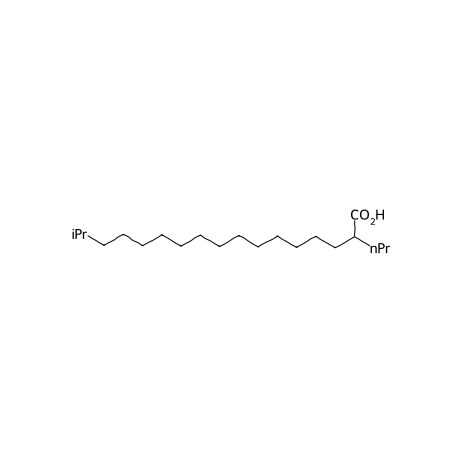 CCCC(CCCCCCCCCCCCCC(C)C)C(=O)O